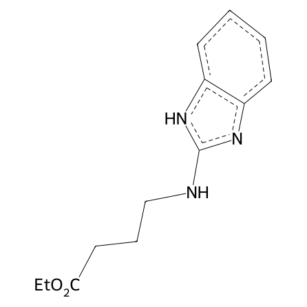 CCOC(=O)CCCNc1nc2ccccc2[nH]1